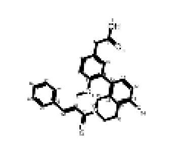 COc1ccc(CC(=O)O)cc1-c1ccc(F)c2c1CN(C(=O)/C=C/c1ccccc1)CC2